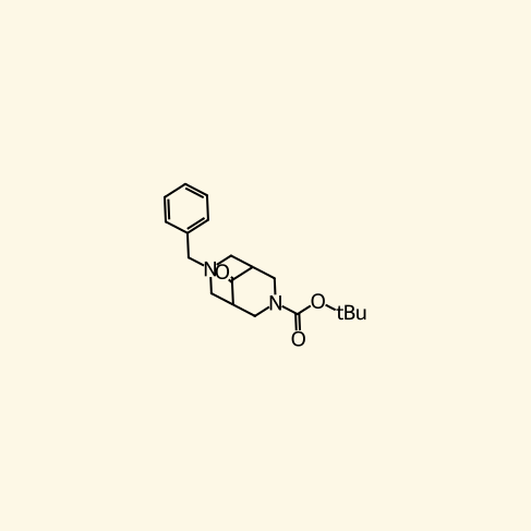 CC(C)(C)OC(=O)N1CC2CN(Cc3ccccc3)CC(C1)C2=O